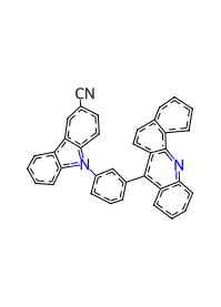 N#Cc1ccc2c(c1)c1ccccc1n2-c1cccc(-c2c3ccccc3nc3c2ccc2ccccc23)c1